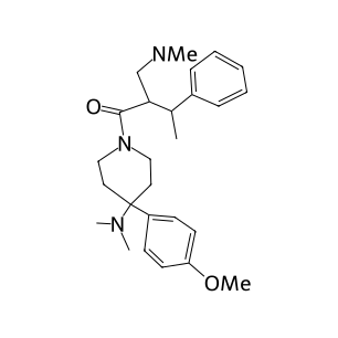 CNCC(C(=O)N1CCC(c2ccc(OC)cc2)(N(C)C)CC1)C(C)c1ccccc1